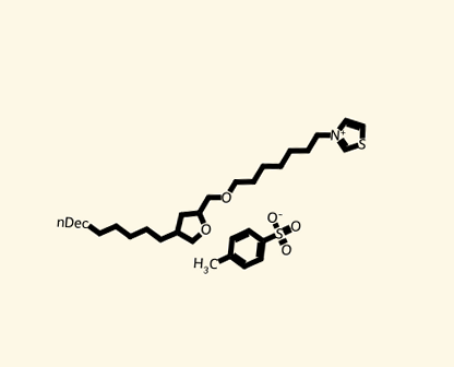 CCCCCCCCCCCCCCCC1COC(COCCCCCCC[n+]2ccsc2)C1.Cc1ccc(S(=O)(=O)[O-])cc1